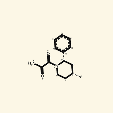 C[C@@H]1CCN(C(=O)C(N)=O)[C@H](c2ccccc2)C1